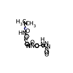 CN(C)C/C=C/C(=O)N[C@@H]1CCCN(Cc2ccnc(C(=O)Nc3ccc(-c4cc5c(N6CCOCC6)ncnc5[nH]4)cc3)c2)C1